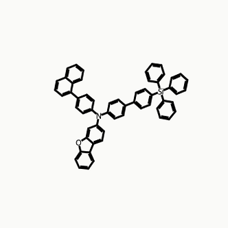 c1ccc([Si](c2ccccc2)(c2ccccc2)c2ccc(-c3ccc(N(c4ccc(-c5cccc6ccccc56)cc4)c4ccc5c(c4)oc4ccccc45)cc3)cc2)cc1